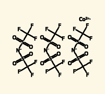 O=S(=O)([N-]S(=O)(=O)C(F)(F)F)C(F)(F)F.O=S(=O)([N-]S(=O)(=O)C(F)(F)F)C(F)(F)F.O=S(=O)([N-]S(=O)(=O)C(F)(F)F)C(F)(F)F.[Co+2]